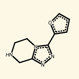 c1coc(-c2nnc3n2CCNC3)c1